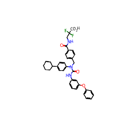 O=C(NCC(F)(F)C(=O)O)c1ccc(CN(C(=O)Nc2cccc(Oc3ccccc3)c2)c2ccc(C3CCCCC3)cc2)cc1